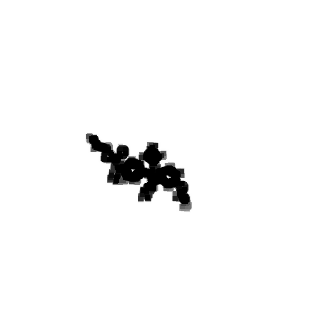 CCCOC(=O)Nc1ccc(-c2c(C#N)c3cc(OCC)ccc3n2C2CCC2)cc1